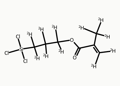 [2H]C([2H])=C(C(=O)OC([2H])([2H])C([2H])([2H])C([2H])([2H])[Si](Cl)(Cl)Cl)C([2H])([2H])[2H]